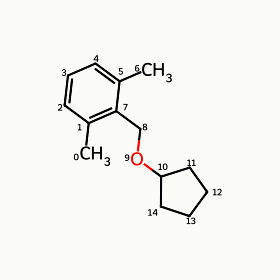 Cc1cccc(C)c1COC1CCCC1